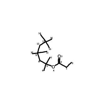 CCC(=O)OC(C)(C)CC(C)(C)CC(C)(C)C